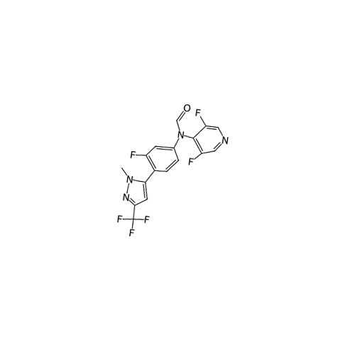 Cn1nc(C(F)(F)F)cc1-c1ccc(N(C=O)c2c(F)cncc2F)cc1F